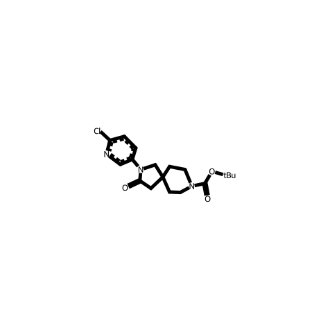 CC(C)(C)OC(=O)N1CCC2(CC1)CC(=O)N(c1ccc(Cl)nc1)C2